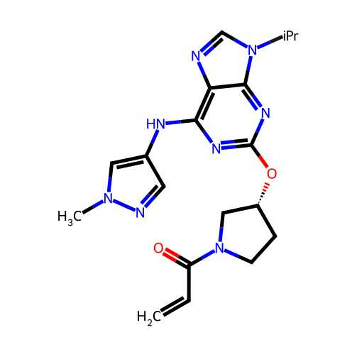 C=CC(=O)N1CC[C@@H](Oc2nc(Nc3cnn(C)c3)c3ncn(C(C)C)c3n2)C1